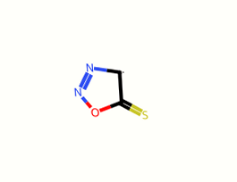 S=C1[CH]N=NO1